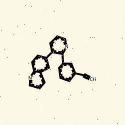 C#Cc1cccc(-c2ncccc2-c2ccc3ncccc3c2)c1